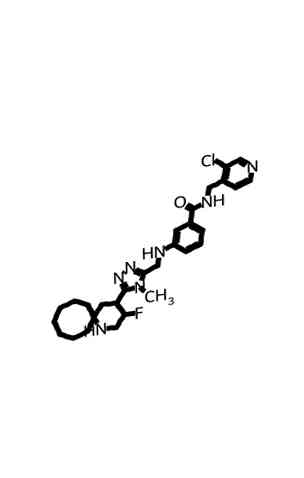 Cn1c(CNc2cccc(C(=O)NCc3ccncc3Cl)c2)nnc1C1CC2(CCCCCCC2)NCC1F